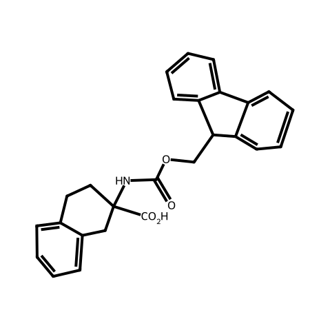 O=C(NC1(C(=O)O)CCc2ccccc2C1)OCC1c2ccccc2-c2ccccc21